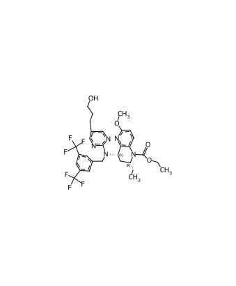 CCOC(=O)N1c2ccc(OC)nc2[C@@H](N(Cc2cc(C(F)(F)F)cc(C(F)(F)F)c2)c2ncc(CCCO)cn2)C[C@H]1CC